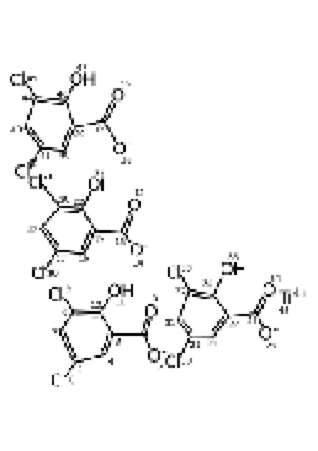 O=C([O-])c1cc(Cl)cc(Cl)c1O.O=C([O-])c1cc(Cl)cc(Cl)c1O.O=C([O-])c1cc(Cl)cc(Cl)c1O.O=C([O-])c1cc(Cl)cc(Cl)c1O.[Ti+4]